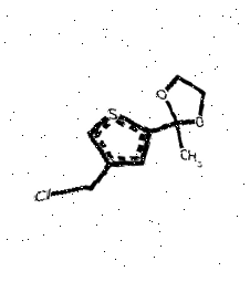 CC1(c2cc(CCl)cs2)OCCO1